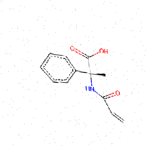 C=CC(=O)N[C@@](C)(C(=O)O)c1ccccc1